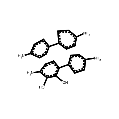 Nc1ccc(-c2ccc(N)c(O)c2O)cc1.Nc1ccc(-c2ccc(N)cc2)cc1